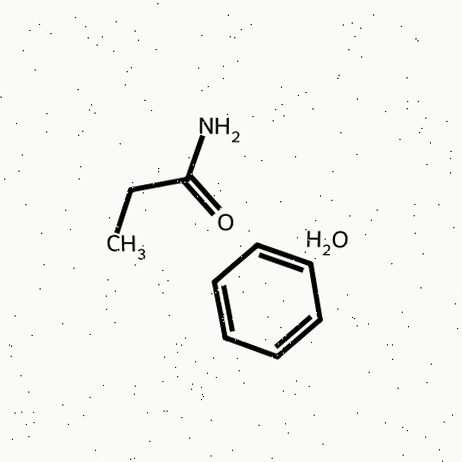 CCC(N)=O.O.c1ccccc1